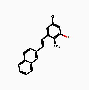 Cc1cc(O)c(C)c(/C=C/c2ccc3ccccc3c2)c1